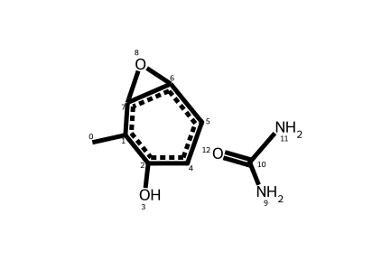 Cc1c(O)ccc2c1O2.NC(N)=O